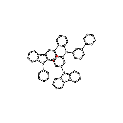 c1ccc(-c2cccc(N(c3cccc(-n4c5ccccc5c5ccccc54)c3)c3ccccc3-c3ccc4c(c3)c3ccccc3n4-c3ccccc3)c2)cc1